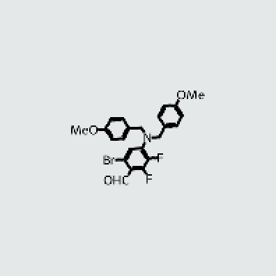 COc1ccc(CN(Cc2ccc(OC)cc2)c2cc(Br)c(C=O)c(F)c2F)cc1